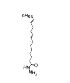 CCCCCCC=CCCC=CCCCCCCC(=O)NN